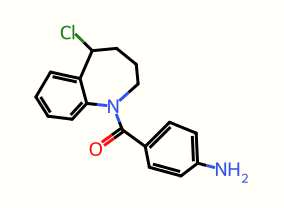 Nc1ccc(C(=O)N2CCCC(Cl)c3ccccc32)cc1